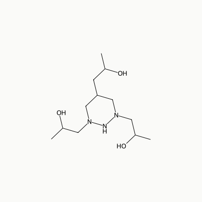 CC(O)CC1CN(CC(C)O)NN(CC(C)O)C1